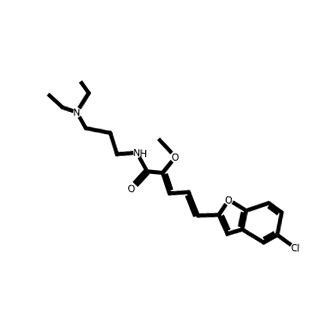 CCN(CC)CCCNC(=O)/C(=C/C=C/c1cc2cc(Cl)ccc2o1)OC